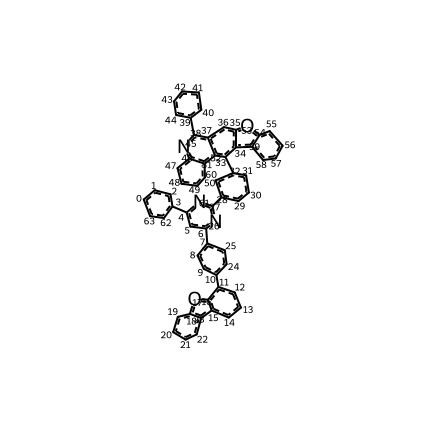 c1ccc(-c2cc(-c3ccc(-c4cccc5c4oc4ccccc45)cc3)nc(-c3cccc(-c4c5c(cc6c(-c7ccccc7)nc7ccccc7c46)oc4ccccc45)c3)n2)cc1